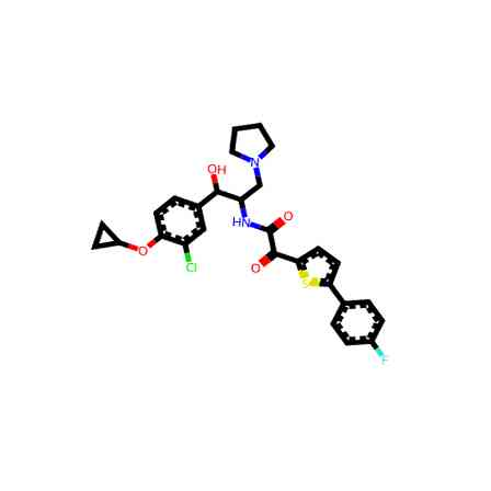 O=C(NC(CN1CCCC1)C(O)c1ccc(OC2CC2)c(Cl)c1)C(=O)c1ccc(-c2ccc(F)cc2)s1